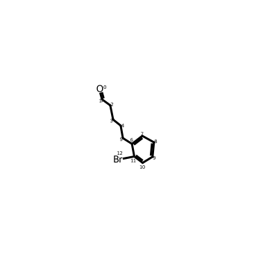 O=[C]CCCCc1ccccc1Br